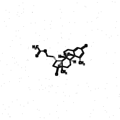 CC(=O)OCC[C@H]1CC(=O)[C@@]2(C)CC[C@H]3[C@@H](CCC4=CC(=O)C=C(C)[C@@]43C)[C@H]12